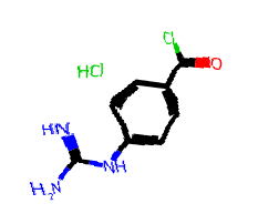 Cl.N=C(N)Nc1ccc(C(=O)Cl)cc1